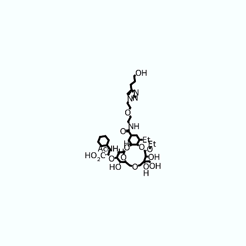 CCO[C@H]1OC2C(CC)CC(C(=O)NCCOCCn3cc(CCCO)nn3)C[C@H]2O[C@@H]2OC(COCC(O)(CO)C1O)[C@H](O)C(O[C@@H](CC1CCCCC1)C(=O)O)C2NC(C)=O